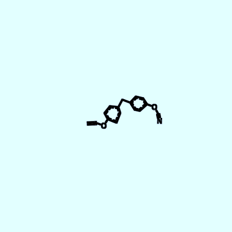 C#COc1ccc(Cc2ccc(OC#N)cc2)cc1